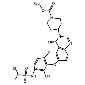 CCN(C)S(=O)(=O)Nc1ccc(F)c(Oc2ccc3ncn(C4CCN(C(=O)OC(C)(C)C)CC4)c(=O)c3c2)c1C#N